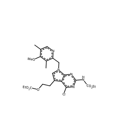 CCOC(=O)Nc1nc(Cl)c2c(CCOC(=O)OCC)cn(Cc3ncc(C)c(OC)c3C)c2n1